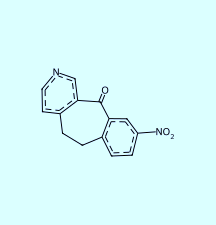 O=C1c2cnccc2CCc2ccc([N+](=O)[O-])cc21